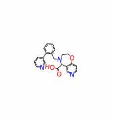 O=C(O)C1c2cnccc2OCCN1Cc1ccccc1-c1cccnc1